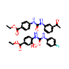 CCOC(=O)c1ccc(NC(=O)Nc2ccc(F)cc2)c(O)c1.CCOC(=O)c1ccc(NC(=O)Nc2cccc(C(C)=O)c2)cc1